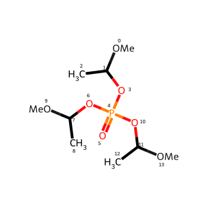 COC(C)OP(=O)(OC(C)OC)OC(C)OC